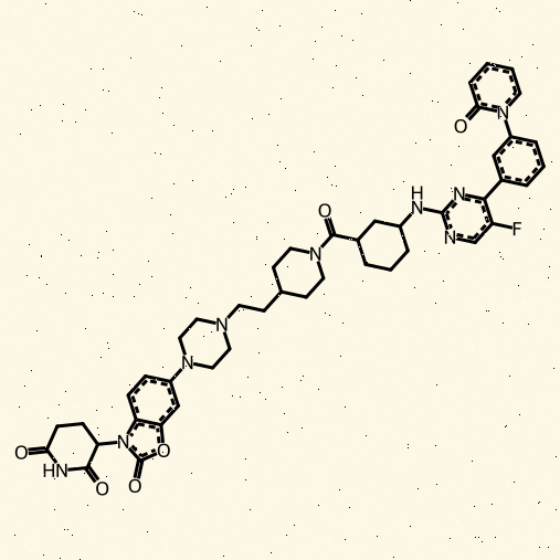 O=C1CCC(n2c(=O)oc3cc(N4CCN(CCC5CCN(C(=O)C6CCCC(Nc7ncc(F)c(-c8cccc(-n9ccccc9=O)c8)n7)C6)CC5)CC4)ccc32)C(=O)N1